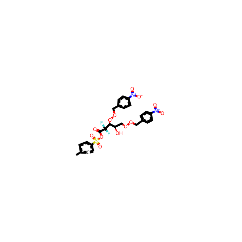 Cc1ccc(S(=O)(=O)OC(=O)C(F)(F)[C@H](OOCc2ccc([N+](=O)[O-])cc2)[C@H](O)COOCc2ccc([N+](=O)[O-])cc2)cc1